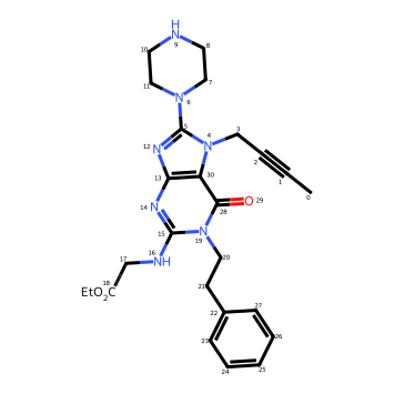 CC#CCn1c(N2CCNCC2)nc2nc(NCC(=O)OCC)n(CCc3ccccc3)c(=O)c21